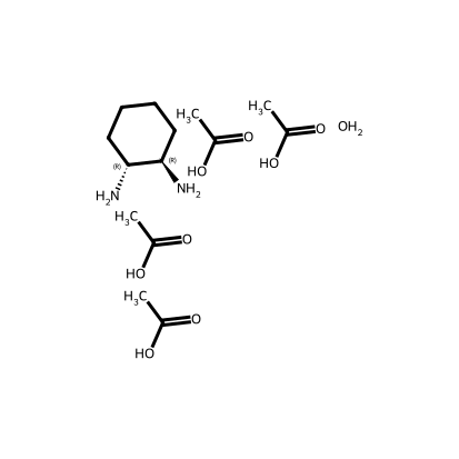 CC(=O)O.CC(=O)O.CC(=O)O.CC(=O)O.N[C@@H]1CCCC[C@H]1N.O